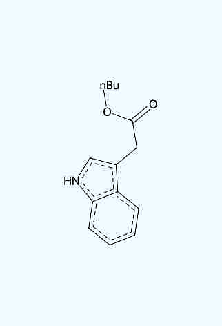 CCCCOC(=O)Cc1c[nH]c2ccccc12